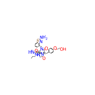 CCCN(C(=O)NC)N1CC(=O)N2[C@@H](Cc3ccc(OCCO)cc3)C(=O)N(Cc3cccc4sc(N)nc34)C[C@@H]21